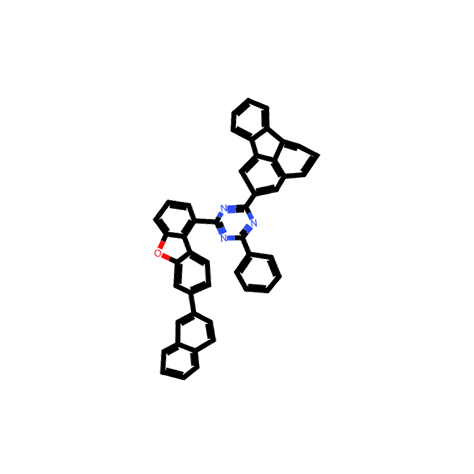 c1ccc(-c2nc(-c3cc4c5c(cccc5c3)-c3ccccc3-4)nc(-c3cccc4oc5cc(-c6ccc7ccccc7c6)ccc5c34)n2)cc1